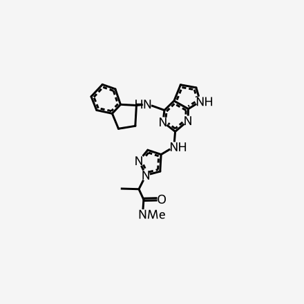 CNC(=O)C(C)n1cc(Nc2nc(NC3CCc4ccccc43)c3cc[nH]c3n2)cn1